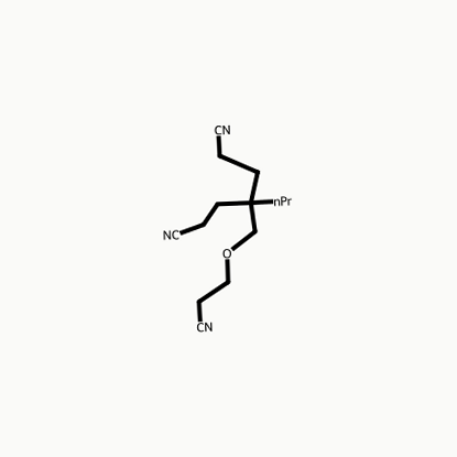 CCCC(CCC#N)(CCC#N)COCCC#N